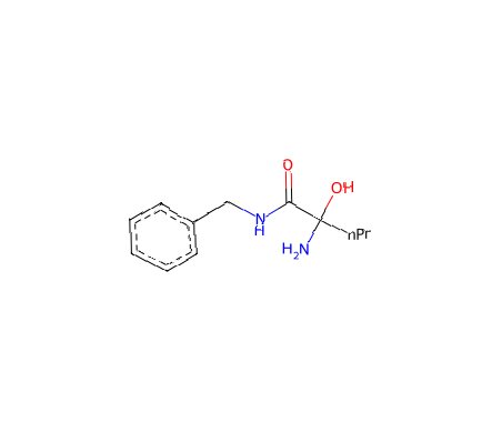 CCCC(N)(O)C(=O)NCc1ccccc1